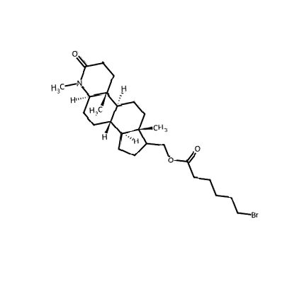 CN1C(=O)CC[C@]2(C)[C@H]3CC[C@]4(C)C(COC(=O)CCCCCBr)CC[C@H]4[C@@H]3CC[C@@H]12